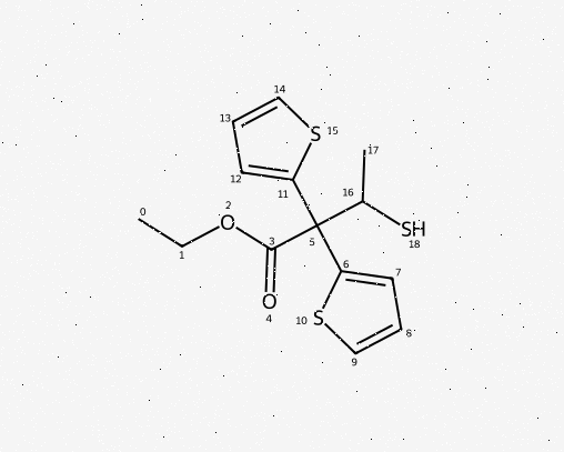 CCOC(=O)C(c1cccs1)(c1cccs1)C(C)S